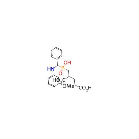 COc1cccc(NC(c2ccccc2)P(=O)(O)CC(CCC(=O)O)C(=O)O)c1